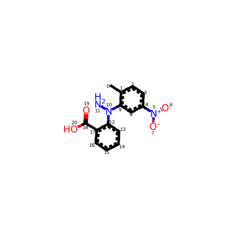 Cc1ccc([N+](=O)[O-])cc1N(N)c1ccccc1C(=O)O